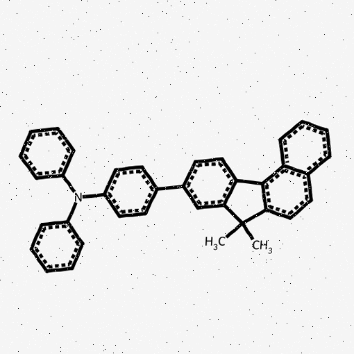 CC1(C)c2cc(-c3ccc(N(c4ccccc4)c4ccccc4)cc3)ccc2-c2c1ccc1ccccc21